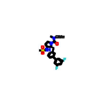 CON(C)C(=O)N1CC[C@H](NS(C)(=O)=O)[C@@H]1Cc1cccc(-c2cc(F)cc(F)c2)c1